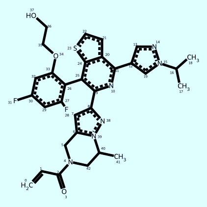 C=CC(=O)N1Cc2cc(-c3nc(-c4cnn(C(C)C)c4)c4ccsc4c3-c3c(F)cc(F)cc3OCCO)nn2C(C)C1